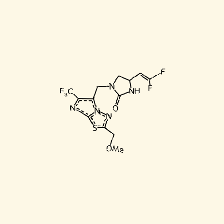 COCc1nn2c(CN3CC(C=C(F)F)NC3=O)c(C(F)(F)F)nc2s1